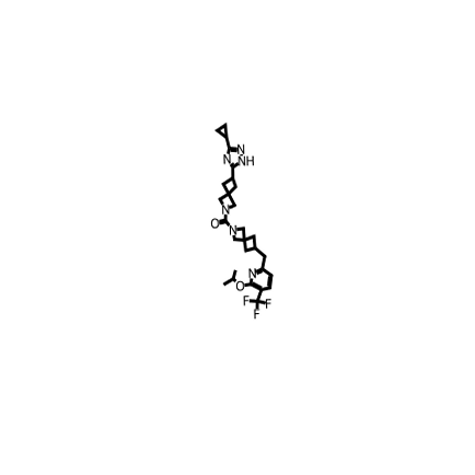 CC(C)Oc1nc(CC2CC3(C2)CN(C(=O)N2CC4(CC(c5nc(C6CC6)n[nH]5)C4)C2)C3)ccc1C(F)(F)F